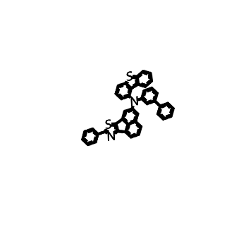 c1ccc(-c2cccc(N(c3cc4c5c(cccc5c3)-c3nc(-c5ccccc5)sc3-4)c3cccc4sc5ccccc5c34)c2)cc1